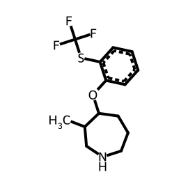 CC1CNCCCC1Oc1ccccc1SC(F)(F)F